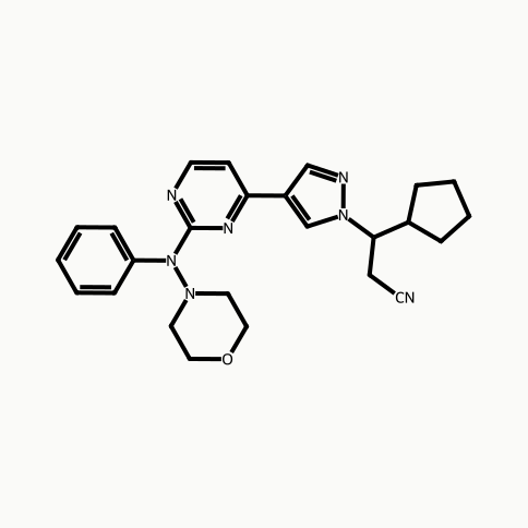 N#CCC(C1CCCC1)n1cc(-c2ccnc(N(c3ccccc3)N3CCOCC3)n2)cn1